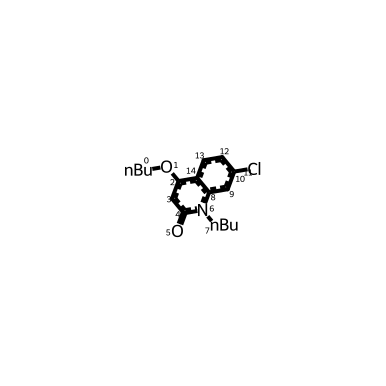 CCCCOc1cc(=O)n(CCCC)c2cc(Cl)ccc12